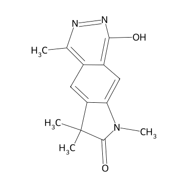 Cc1nnc(O)c2cc3c(cc12)C(C)(C)C(=O)N3C